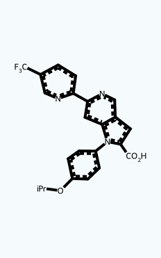 CC(C)Oc1ccc(-n2c(C(=O)O)cc3cnc(-c4ccc(C(F)(F)F)cn4)cc32)cc1